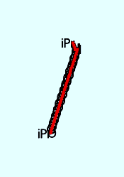 CC(C)CCCCn1cc(COCCOCCOCCOCCOCCOCCOCCOCCOCCOCCOCCOCCOCCOCCOCCOCCOCCOCCOCCOCCOCCOCCOCCOCCOCCC(=O)C(C)C)nn1